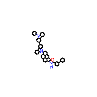 C1=c2c(n(-c3ccccc3)c3ccccc23)=CCC1c1ccc2c(c1)c1ccccc1n2-c1ccc2cc3c4c(ccc5ccc1c2c54)C1=C3OC(c2cccc(-c3ccccc3)c2)N1